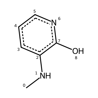 CNc1cccnc1O